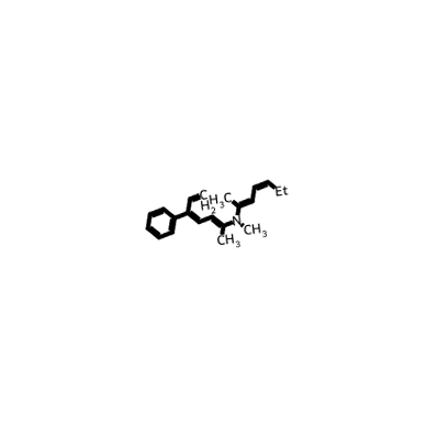 C=C/C(=C\C=C(/C)N(C)/C(C)=C/C=C\CC)c1ccccc1